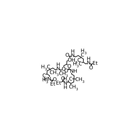 CCC(=O)NCC(C)CC(C)(C)CCNC(=O)OCC(COC(C)NCCC(C)(C)CC(C)CNC(=O)CC)OC(=O)NCCC(C)(C)CC(C)CNC(=O)CC